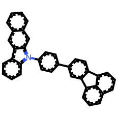 c1ccc2cc3c(cc2c1)c1ccccc1n3-c1ccc(-c2ccc3c(c2)-c2cccc4cccc-3c24)cc1